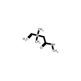 C=C[Si](C)(C)CC(=O)NC